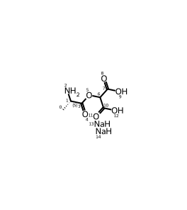 C[C@H](N)C(=O)OC(C(=O)O)C(=O)O.[NaH].[NaH]